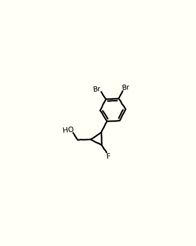 OCC1C(F)C1c1ccc(Br)c(Br)c1